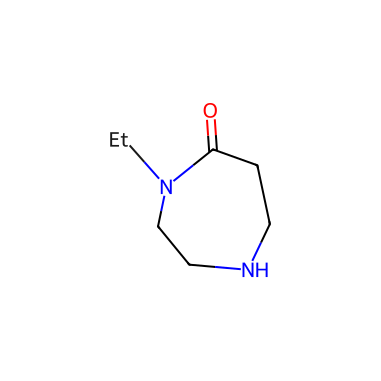 CCN1CCNCCC1=O